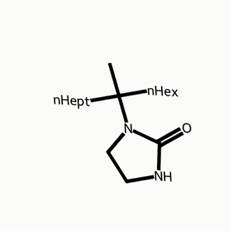 CCCCCCCC(C)(CCCCCC)N1CCNC1=O